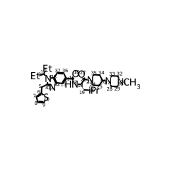 CCC(CC)n1c(Cc2cccs2)nc2cc(C(=O)N[C@@H](CC(C)C)C(=O)N3CCC(N4CCN(C)CC4)CC3)ccc21